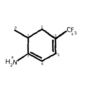 CC1CC(C(F)(F)F)=CC=C1N